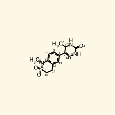 CC1NC(=O)NN=C1c1ccc2c(c1)CCS(=O)(=O)N2C